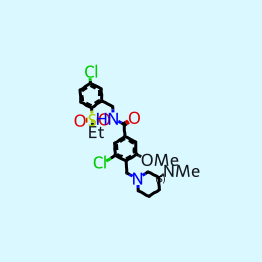 CCS(=O)(=O)c1ccc(Cl)cc1CNC(=O)c1cc(Cl)c(CN2CCC[C@H](NC)C2)c(OC)c1